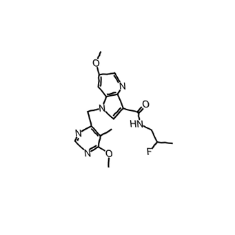 COc1cnc2c(C(=O)NCC(C)F)cn(Cc3ncnc(OC)c3C)c2c1